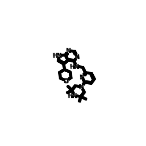 CC1(C)CN(c2cccc(CNc3ncnc4[nH]cc(C5CCOCC5)c34)n2)CC(C)(C)N1